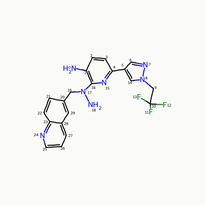 Nc1ccc(-c2cnn(CC(F)(F)F)c2)nc1N(N)Cc1ccc2ncccc2c1